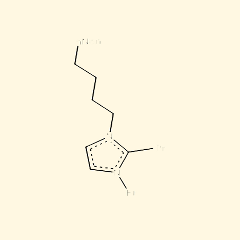 CCCCCCCCCCCCC[n+]1ccn(CC)c1C(C)C